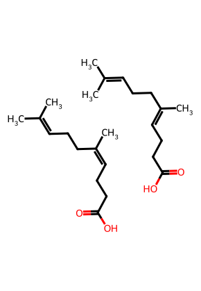 CC(C)=CCC/C(C)=C\CCC(=O)O.CC(C)=CCCC(C)=CCCC(=O)O